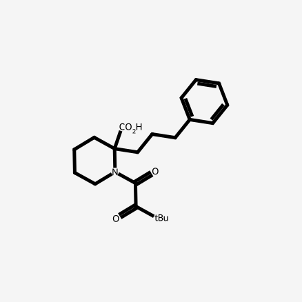 CC(C)(C)C(=O)C(=O)N1CCCCC1(CCCc1ccccc1)C(=O)O